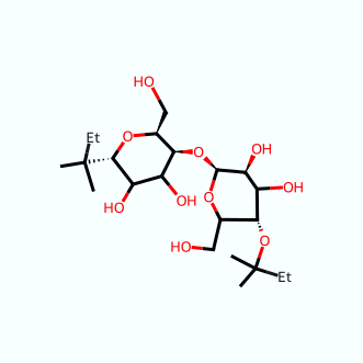 CCC(C)(C)O[C@@H]1C(CO)O[C@@H](O[C@H]2C(O)C(O)[C@H](C(C)(C)CC)O[C@H]2CO)[C@@H](O)C1O